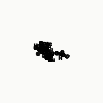 CC(=O)O[C@H]1C(=O)[C@]23CC2C[C@H]2OC[C@@]2(OC(C)=O)[C@H]3[C@H](OC(=O)c2ccccc2)[C@]2(O)C[C@H](OC(=O)[C@H](OC(=O)COCCOCCNC(=O)OCc3ccccc3)[C@@H](NC(=O)OC(C)(C)C)c3ccccc3)C(C)=C1C2(C)C